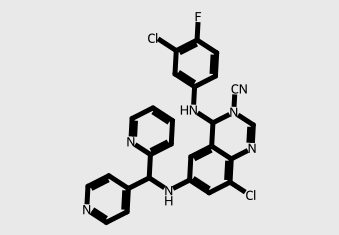 N#CN1C=Nc2c(Cl)cc(NC(c3ccncc3)c3ccccn3)cc2C1Nc1ccc(F)c(Cl)c1